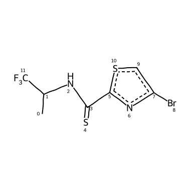 CC(NC(=S)c1nc(Br)cs1)C(F)(F)F